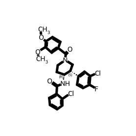 COc1ccc(C(=O)N2CC[C@@H](NC(=O)c3ccccc3Cl)[C@@H](c3ccc(F)c(Cl)c3)C2)cc1OC